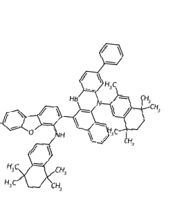 Cc1cc2c(cc1N1c3cc(-c4ccccc4)ccc3Bc3c(-c4ccc5c(oc6ccccc65)c4Nc4ccc5c(c4)C(C)(C)CCC5(C)C)cc4ccccc4c31)C(C)(C)CCC2(C)C